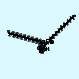 CCCCCCCCCCCCCCCCCC(=O)OCC(COP(=O)(O)OC)OC(=O)CCCCCCCCCCCCCCCCC